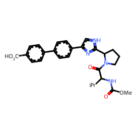 COC(=O)NC(C(=O)N1CCCC1c1nc(-c2ccc(-c3ccc(C(=O)O)cc3)cc2)c[nH]1)C(C)C